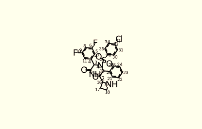 NC(=O)C(c1cc(F)cc(F)c1)N(C(C(=O)C1CCN1)c1ccccc1)S(=O)(=O)c1ccc(Cl)cc1